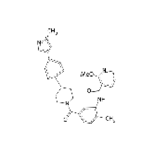 COc1ncccc1C(=O)Nc1cc(C(=O)N2CCC(c3ccc(-c4cnn(C)c4)cc3)CC2)ccc1C